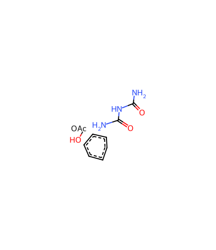 CC(=O)OO.NC(=O)NC(N)=O.c1ccccc1